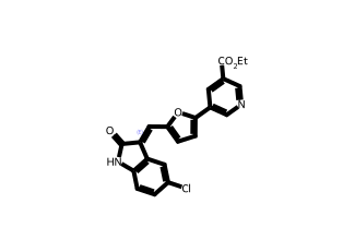 CCOC(=O)c1cncc(-c2ccc(/C=C3/C(=O)Nc4ccc(Cl)cc43)o2)c1